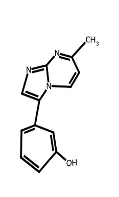 Cc1ccn2c(-c3cccc(O)c3)cnc2n1